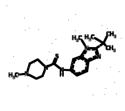 CN1CCN(C(=S)Nc2ccc3nc(C(C)(C)C)n(C)c3c2)CC1